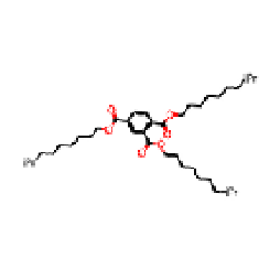 CC(C)CCCCCCCOC(=O)c1ccc(C(=O)OCCCCCCCC(C)C)c(C(=O)OCCCCCCCC(C)C)c1